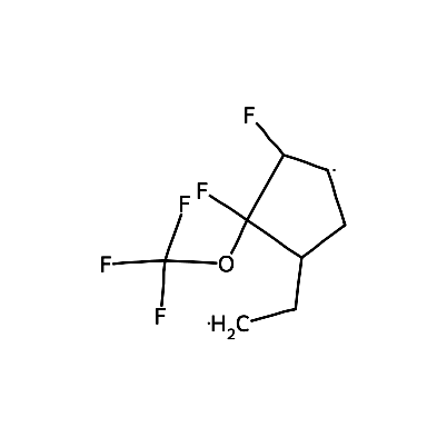 [CH2]CC1C[CH]C(F)C1(F)OC(F)(F)F